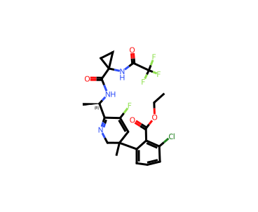 CCOC(=O)c1c(Cl)cccc1C1(C)C=C(F)C([C@@H](C)NC(=O)C2(NC(=O)C(F)(F)F)CC2)=NC1